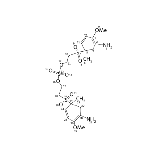 COC1=C(N)CC(C)(S(=O)(=O)CCOS(=O)(=O)OCCS(=O)(=O)C2(C)C=CC(OC)=C(N)C2)C=C1